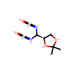 CC1(C)OC[C@H](C(N=C=O)N=C=O)O1